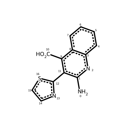 Nc1nc2ccccc2c(C(=O)O)c1-c1nccs1